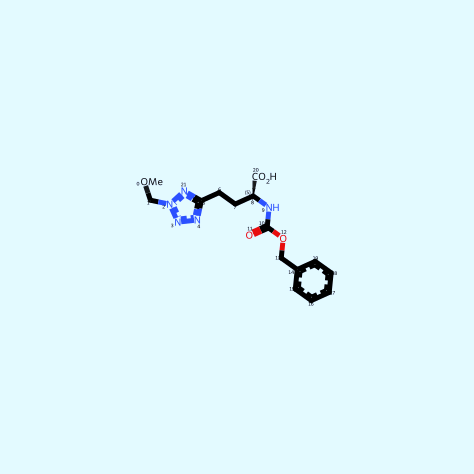 COCn1nnc(CC[C@H](NC(=O)OCc2ccccc2)C(=O)O)n1